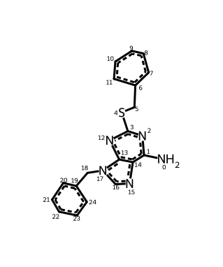 Nc1nc(SCc2ccccc2)nc2c1ncn2Cc1ccccc1